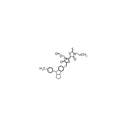 C=CCN1C(=O)/C(=c2\s/c(=C/c3ccc4c(c3)C3CCCC3C4c3ccc(C)cc3)c(=O)n2COC=O)SC1=S